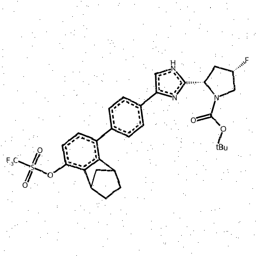 CC(C)(C)OC(=O)N1C[C@@H](F)C[C@H]1c1nc(-c2ccc(-c3ccc(OS(=O)(=O)C(F)(F)F)c4c3C3CCC4C3)cc2)c[nH]1